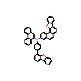 c1ccc2c(c1)cc(N(c1ccc(-c3cccc4c3oc3ccccc34)cc1)c1ccc3c(ccc4ccc5c6ccccc6oc5c43)c1)c1ccccc12